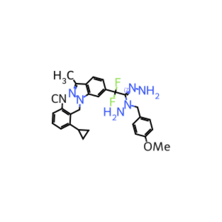 COc1ccc(CN(N)/C(=N\N)C(F)(F)c2ccc3c(C)nn(Cc4c(C#N)cccc4C4CC4)c3c2)cc1